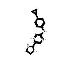 c1cc(C2CC2)ccc1Oc1cnc(C2OCCO2)cn1